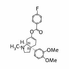 COc1ccc([C@@]23CC=C(OC(=O)c4ccc(F)cc4)C[C@@H]2N(C)CC3)cc1OC